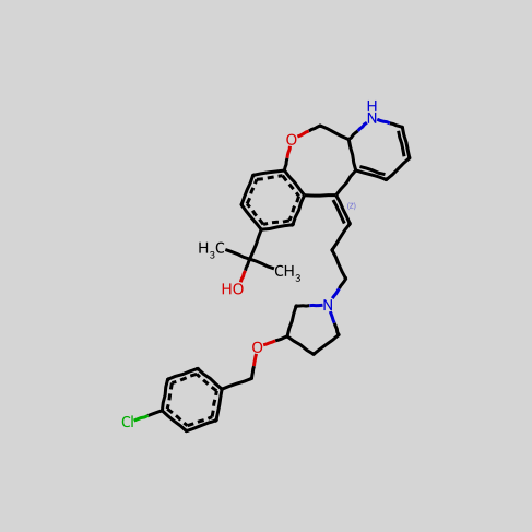 CC(C)(O)c1ccc2c(c1)/C(=C\CCN1CCC(OCc3ccc(Cl)cc3)C1)C1=CC=CNC1CO2